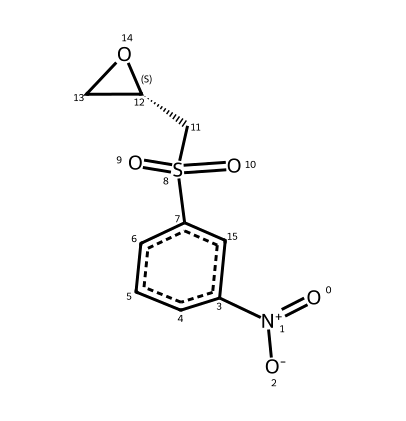 O=[N+]([O-])c1cccc(S(=O)(=O)C[C@@H]2CO2)c1